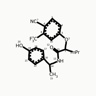 CCCC(Oc1ccc(C#N)c(C(F)(F)F)c1)C(=O)NC(C)c1ccc(O)cc1